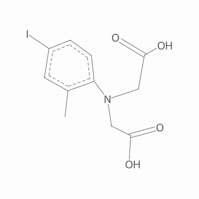 Cc1cc(I)ccc1N(CC(=O)O)CC(=O)O